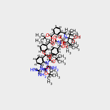 CC(C)(C)OC(=O)c1cccc(CN(C(C(=O)O)(C(C(=O)O)C(C)(C)C)C(C)(C)C)S(=O)(=O)N(Cc2ccc(OC(=O)c3cccc(N(C(=N)N)C(=O)OC(C)(C)C)c3N(C(=N)N)C(=O)OC(C)(C)C)cc2)C(=O)OCc2ccccc2)c1